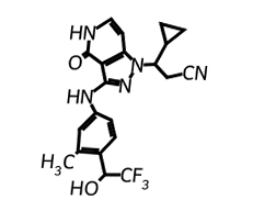 Cc1cc(Nc2nn(C(CC#N)C3CC3)c3cc[nH]c(=O)c23)ccc1C(O)C(F)(F)F